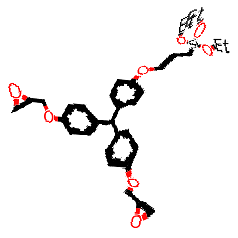 CCO[Si](CCCOc1ccc(C(c2ccc(OCC3CO3)cc2)c2ccc(OCC3CO3)cc2)cc1)(OCC)OCC